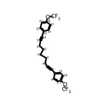 FC(F)(F)Oc1ccc(C#CCCCCCC#Cc2ccc(OC(F)(F)F)cc2)cc1